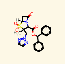 CC1(Cn2nccn2)C(C(=O)OC(c2ccccc2)c2ccccc2)N2C(=O)C[C@H]2S1(=O)=O